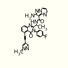 CC(NC(=O)c1c(N)nn2cccnc12)c1nc2cccc(C#Cc3cnn(C)c3)c2c(=O)n1-c1ccc(F)cc1